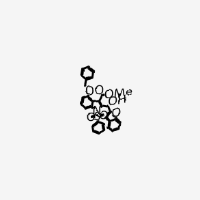 COC(=O)C1c2c(OCc3ccccc3)cccc2N(S(=O)(=O)c2ccccc2)C1C(O)c1cc2ccccc2o1